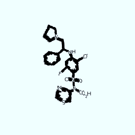 O=C(O)N(c1cscn1)S(=O)(=O)c1cc(Cl)c(NC(CN2CCCC2)c2ccccc2)cc1F